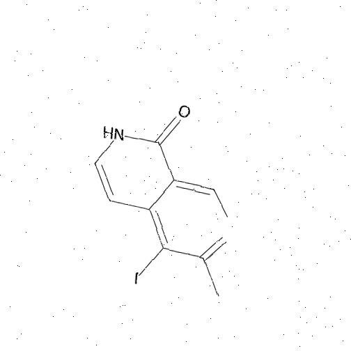 C=C(C)/C(I)=c1/cc[nH]c(=O)/c1=C/C